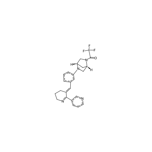 O=C(N1C[C@@H]2C[C@H]1CN2c1cccc(/C=C2\CCCN=C2c2cccnc2)c1)C(F)(F)F